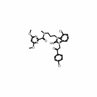 COc1cc(OC)nc(C(=O)N(C)CCCn2c(=N)n(CC(=O)c3ccc(Cl)cc3)c3cccc(Cl)c32)n1